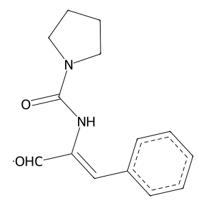 O=[C]C(=Cc1ccccc1)NC(=O)N1CCCC1